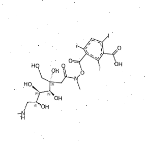 CNC[C@H](O)[C@@H](O)[C@H](O)[C@@](O)(CO)CC(=O)N(C)OC(=O)c1c(I)cc(I)c(C(=O)O)c1I